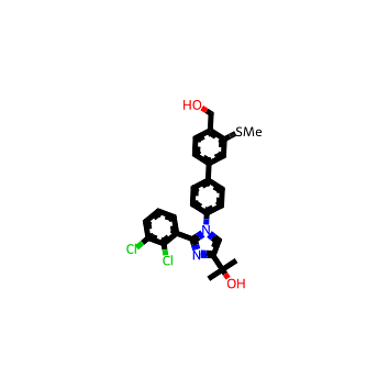 CSc1cc(-c2ccc(-n3cc(C(C)(C)O)nc3-c3cccc(Cl)c3Cl)cc2)ccc1CO